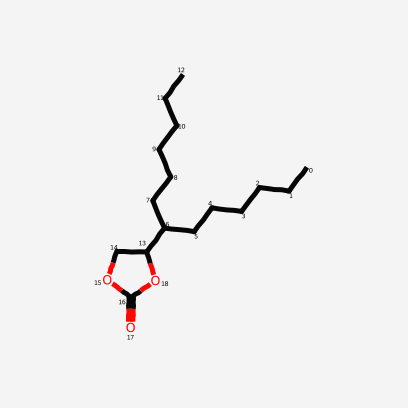 CCCCCCC(CCCCCC)C1COC(=O)O1